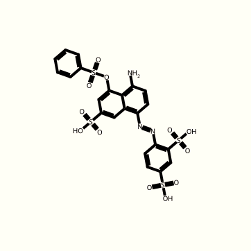 Nc1ccc(N=Nc2ccc(S(=O)(=O)O)cc2S(=O)(=O)O)c2cc(S(=O)(=O)O)cc(OS(=O)(=O)c3ccccc3)c12